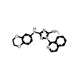 Nc1nc(Nc2ccc3c(c2)OCCO3)nn1-c1nccc2ccccc12